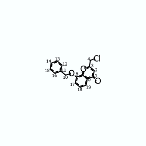 O=c1cc(CCl)oc2c(OCc3ccccc3)cccc12